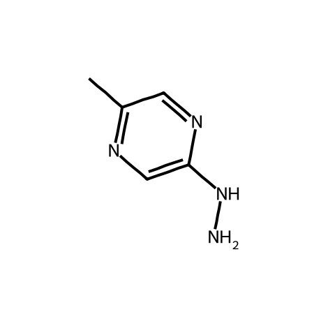 Cc1cnc(NN)cn1